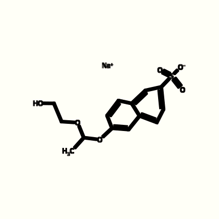 CC(OCCO)Oc1ccc2cc(S(=O)(=O)[O-])ccc2c1.[Na+]